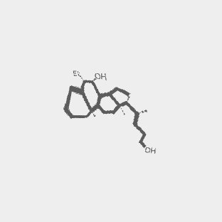 CC[C@H]1C2CCCC[C@]2(C)C2CC[C@@]3(C)C(CC[C@@H]3[C@H](C)CCCO)C2[C@H]1O